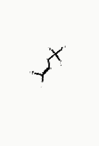 F/C(I)=C\CC(F)(F)F